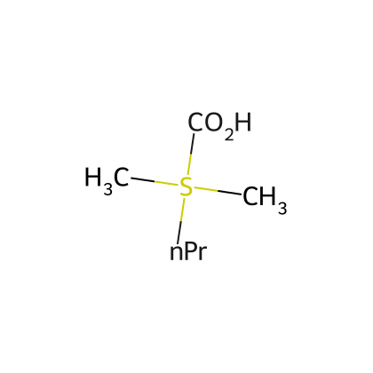 CCCS(C)(C)C(=O)O